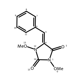 CON1C(=O)C(=Cc2ccccc2)N(OC)C1=O